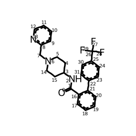 O=C(NC1CCN(Cc2ccccn2)CC1)c1ccccc1-c1ccc(C(F)(F)F)cc1